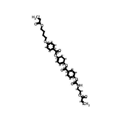 C=CC(=O)OCCCCOc1ccc(C(=O)OC2=CC=C(OC(=O)c3ccc(OC(=O)NCCOC(=O)C=C)cc3)CC2)cc1